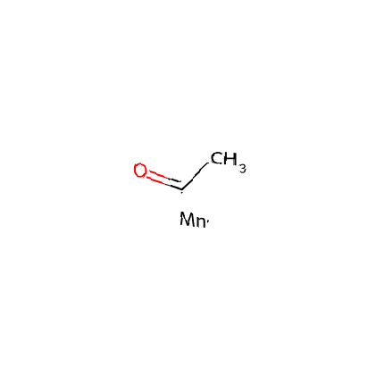 C[C]=O.[Mn]